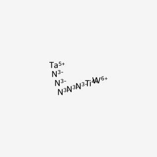 [N-3].[N-3].[N-3].[N-3].[N-3].[Ta+5].[Ti+4].[W+6]